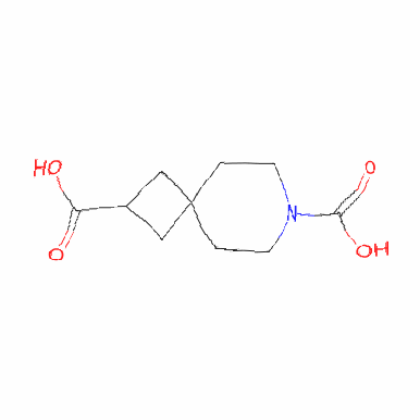 O=C(O)C1CC2(CCN(C(=O)O)CC2)C1